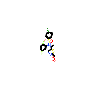 COCC1=NCC(C(C)N(c2cc(F)ccc2F)S(=O)(=O)c2ccc(Cl)cc2)S1